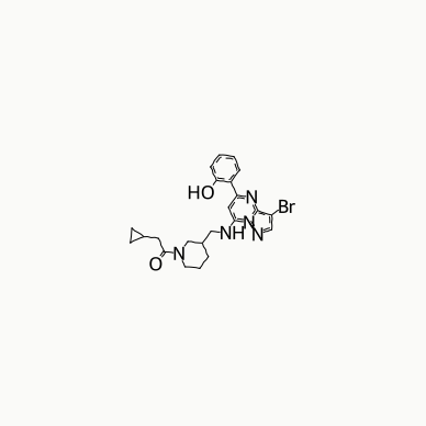 O=C(CC1CC1)N1CCCC(CNc2cc(-c3ccccc3O)nc3c(Br)cnn23)C1